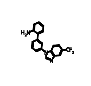 Nc1ccccc1-c1cccc(-n2cnc3cc(C(F)(F)F)ccc32)c1